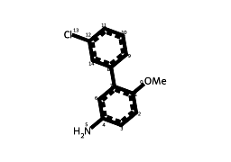 COc1ccc(N)cc1-c1cccc(Cl)c1